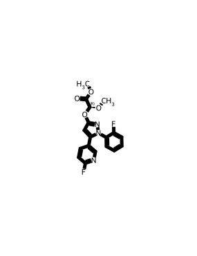 COC(=O)[C@H](OC)Oc1cc(-c2ccc(F)nc2)n(-c2ccccc2F)n1